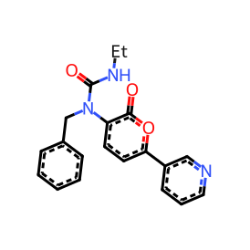 CCNC(=O)N(Cc1ccccc1)c1ccc(-c2cccnc2)oc1=O